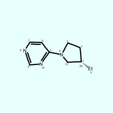 CC[C@H]1CCN(c2ccncn2)C1